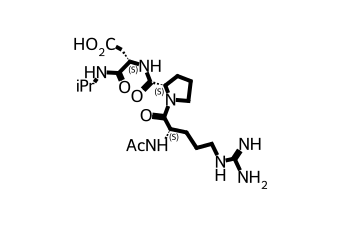 CC(=O)N[C@@H](CCCNC(=N)N)C(=O)N1CCC[C@H]1C(=O)N[C@@H](CC(=O)O)C(=O)NC(C)C